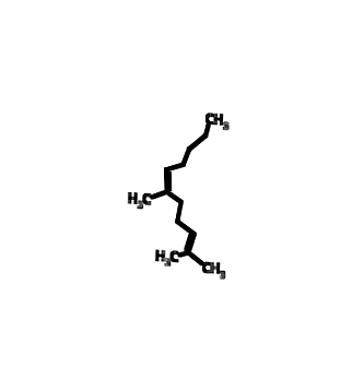 CCCCC=C(C)CCC=C(C)C